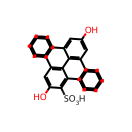 O=S(=O)(O)c1c(O)cc(-c2ccccc2)c(-c2c(-c3ccccc3)cc(O)cc2-c2ccccc2)c1-c1ccccc1